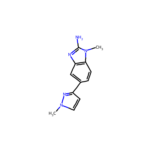 Cn1ccc(-c2ccc3c(c2)nc(N)n3C)n1